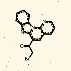 O=C(CBr)c1cc2cccnc2n2c1nc1ccccc12